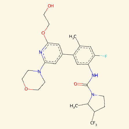 Cc1cc(F)c(NC(=O)N2CCC(C(F)(F)F)C2C)cc1-c1cc(OCCO)nc(N2CCOCC2)c1